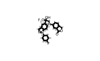 O=C1OCc2ccc(NCC(O)(c3ccc4c(cnn4-c4ccc(F)cc4)c3)C(F)(F)F)cc21